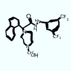 CN1CCN(C(C(=O)NNc2cc(C(F)(F)F)cc(C(F)(F)F)c2)c2cccc3ccccc23)CC1.Cl